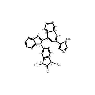 Cn1cncc1-c1cc(-c2nc3ccccc3n2-c2ccc3c(c2)n(C)c(=O)n3C)c2ccccc2n1